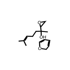 C1=CCOC=C1.CC(C)=CCCC(C)(O)C1CO1